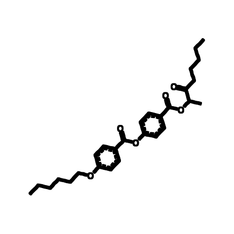 CCCCCCOc1ccc(C(=O)Oc2ccc(C(=O)OC(C)C(=O)CCCCC)cc2)cc1